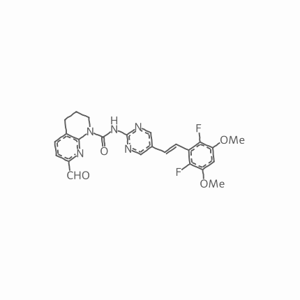 COc1cc(OC)c(F)c(/C=C/c2cnc(NC(=O)N3CCCc4ccc(C=O)nc43)nc2)c1F